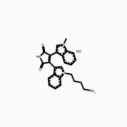 Cl.Cn1cc(C2=C(c3cn(CCCCN)c4ccccc34)C(=O)NC2=O)c2ccccc21